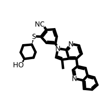 Cc1cn(-c2ccc(C#N)c(S[C@H]3CC[C@H](O)CC3)c2)c2nccc(-c3cnc4ccccc4c3)c12